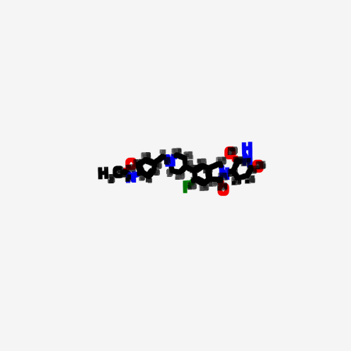 Cc1nc2ccc(CN3CCC(c4cc5c(cc4F)C(=O)N(C4CCC(=O)NC4=O)C5)CC3)cc2o1